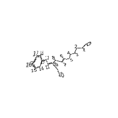 CCCCCCCCCC(C)=CCc1ccccc1